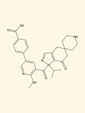 CNc1ncc(-c2ccc(C(=O)O)cc2)cc1C(=O)[N+]1(C(C)C)N=CC2=C1C(=O)CC1(CCNCC1)C2